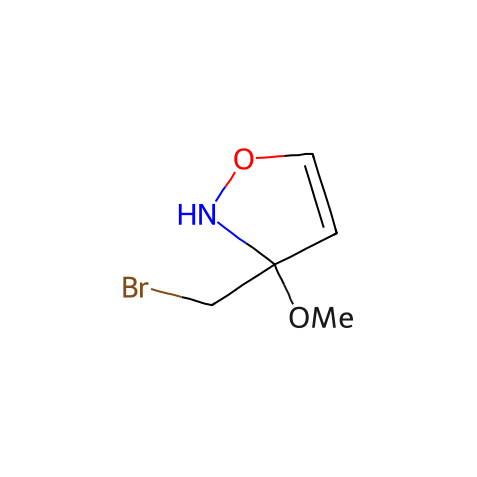 COC1(CBr)C=CON1